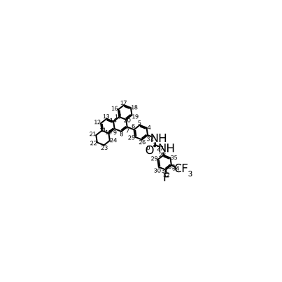 O=C(Nc1ccc(-c2cc3c4c(ccc3c3ccccc23)CCCC4)cc1)Nc1ccc(F)c(C(F)(F)F)c1